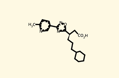 Cc1ccc(-c2noc([C@H](CCCC3CCCCC3)CC(=O)O)n2)cn1